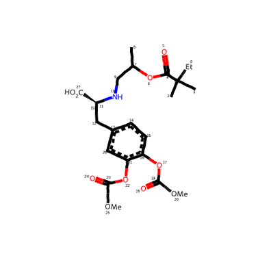 CCC(C)(C)C(=O)OC(C)CN[C@@H](Cc1ccc(OC(=O)OC)c(OC(=O)OC)c1)C(=O)O